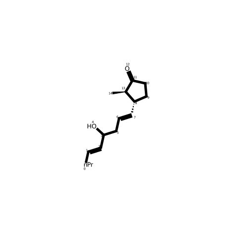 CCC/C=C/C(O)C/C=C/[C@H]1CCC(=O)[C@@H]1C